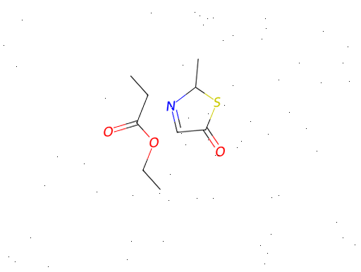 CC1N=CC(=O)S1.CCOC(=O)CC